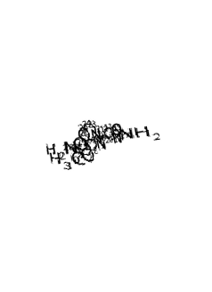 CC(Oc1cc2c3c(c1)nc(-c1ccc4oc(N)nc4c1)n3CCCCO2)C(N)=O